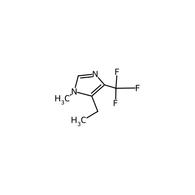 CCc1c(C(F)(F)F)ncn1C